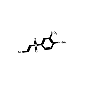 CC(=O)Nc1ccc(S(=O)(=O)/C=C/C#N)cc1[N+](=O)[O-]